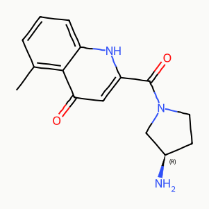 Cc1cccc2[nH]c(C(=O)N3CC[C@@H](N)C3)cc(=O)c12